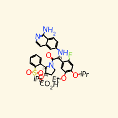 CCOc1cc([C@@H](Nc2ccc3c(N)nccc3c2)C(=O)N2CC[C@H](OC(=O)O)[C@H]2c2ccccc2S(=O)(=O)C(C)C)c(F)cc1OC(C)C